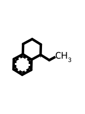 CC[C]1CCCc2ccccc21